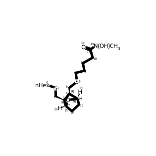 CCCCCCSC[C@H]1[C@@H](CSCCCCC(=O)N(C)O)[C@H]2CC[C@@H]1O2